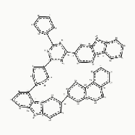 c1ccc(-c2nc(-c3ccc(-c4cccc5oc6ccc(-c7ccc8c(ccc9ccccc98)c7)cc6c45)cc3)nc(-c3ccc4c(c3)oc3ccccc34)n2)cc1